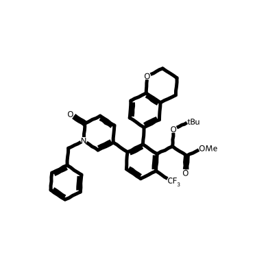 COC(=O)C(OC(C)(C)C)c1c(C(F)(F)F)ccc(-c2ccc(=O)n(Cc3ccccc3)c2)c1-c1ccc2c(c1)CCCO2